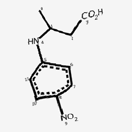 CC(CC(=O)O)Nc1ccc([N+](=O)[O-])cc1